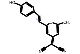 CC1=CC(=C(C#N)C#N)C=C(/C=C/c2ccc(O)cc2)O1